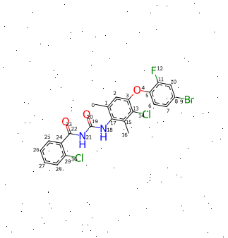 Cc1cc(Oc2ccc(Br)cc2F)c(Cl)c(C)c1NC(=O)NC(=O)c1ccccc1Cl